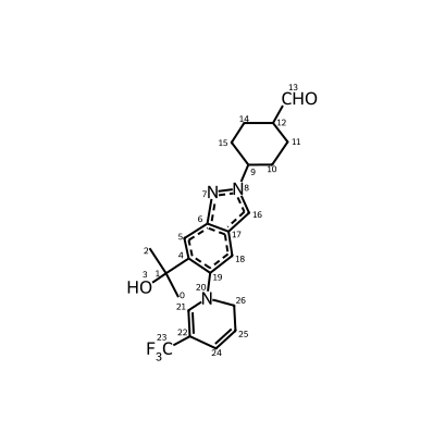 CC(C)(O)c1cc2nn(C3CCC(C=O)CC3)cc2cc1N1C=C(C(F)(F)F)C=CC1